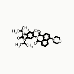 Cc1cc2c(cc1N1C(=O)c3cccc4c(N5CCOCC5)ccc(c34)C1=O)n(C(C)C)c(=O)n2C(C)C